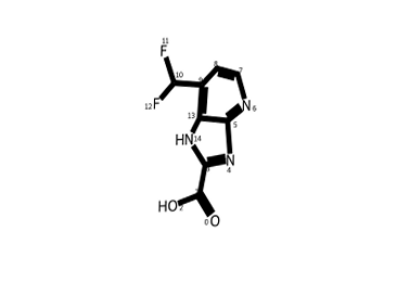 O=C(O)c1nc2nccc(C(F)F)c2[nH]1